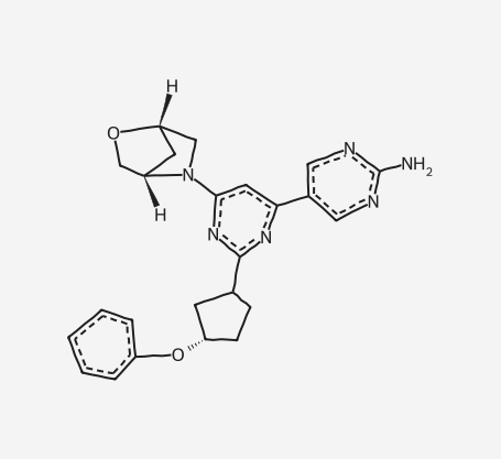 Nc1ncc(-c2cc(N3C[C@@H]4C[C@H]3CO4)nc(C3CC[C@H](Oc4ccccc4)C3)n2)cn1